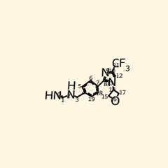 N=CNCc1ccc(-c2nc(C(F)(F)F)cn2C2COC2)cc1